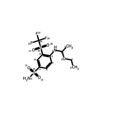 CCOC(C)Nc1ccc(S(N)(=O)=O)cc1S(=O)(=O)C(F)(F)F